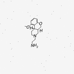 COc1cccc2c1[C@H]1CCN(CCN)C[C@@H]1CO2